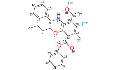 CCCCOc1c(NCc2ccccc2)c(C(C)OC)c(F)c(C)c1C(=O)Oc1ccccc1